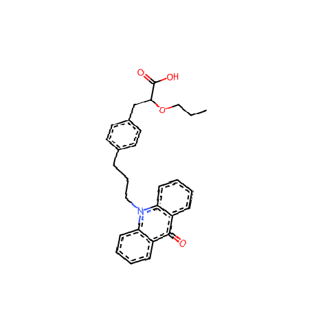 CCCOC(Cc1ccc(CCCn2c3ccccc3c(=O)c3ccccc32)cc1)C(=O)O